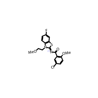 COCCn1/c(=N/C(=O)c2cc(Cl)ccc2OC)sc2cc(F)ccc21